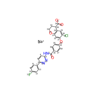 O=C(Nc1ccc(-c2ccc(F)cc2)nn1)c1ccc(Oc2cc3c(cc2Cl)C(C(=O)[O-])CCO3)cc1.[Na+]